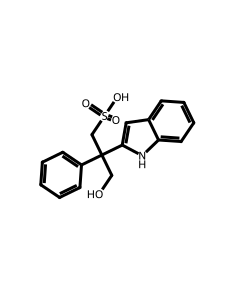 O=S(=O)(O)CC(CO)(c1ccccc1)c1cc2ccccc2[nH]1